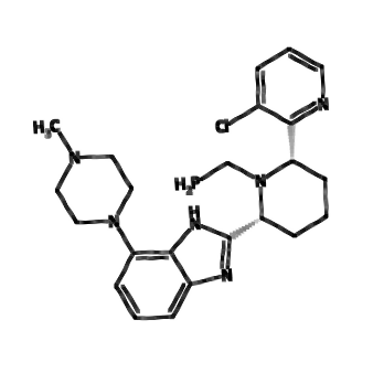 CN1CCN(c2cccc3nc([C@H]4CCC[C@@H](c5ncccc5Cl)N4CP)[nH]c23)CC1